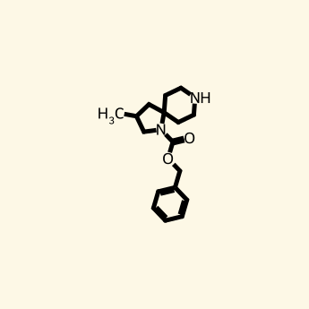 CC1CN(C(=O)OCc2ccccc2)C2(CCNCC2)C1